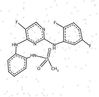 CS(=O)(=O)Nc1ccccc1Nc1nc(Nc2cc(F)ccc2F)ncc1F